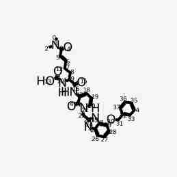 CN(C)C(=O)/C=C/CCC(NC(=O)O)C(=O)Nc1cccn(Cc2nc3cccc(OCc4ccccc4)c3[nH]2)c1=O